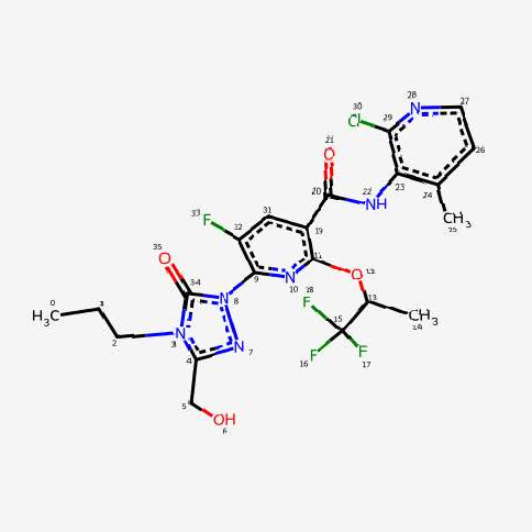 CCCn1c(CO)nn(-c2nc(OC(C)C(F)(F)F)c(C(=O)Nc3c(C)ccnc3Cl)cc2F)c1=O